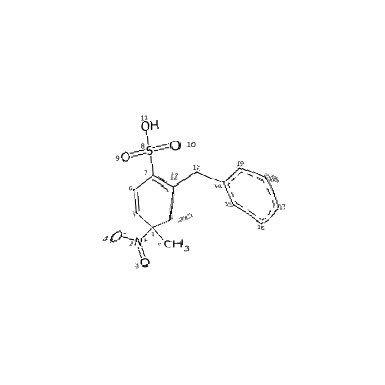 CC1([N+](=O)[O-])C=CC(S(=O)(=O)O)=C(Cc2ccccc2)C1